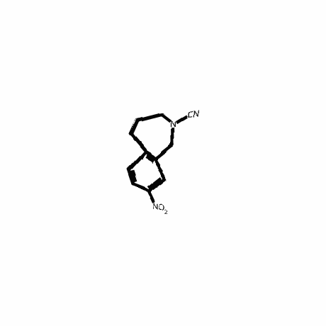 N#CN1CCCc2ccc([N+](=O)[O-])cc2C1